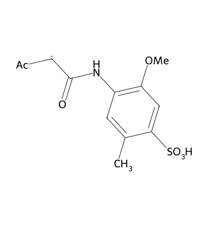 COc1cc(S(=O)(=O)O)c(C)cc1NC(=O)[CH]C(C)=O